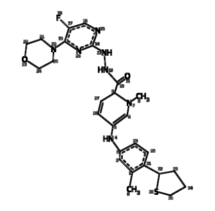 Cc1cc(NC2=CN(C)C(C(=O)NNc3ncc(F)c(N4CCOCC4)n3)C=C2)ccc1C1CCCS1